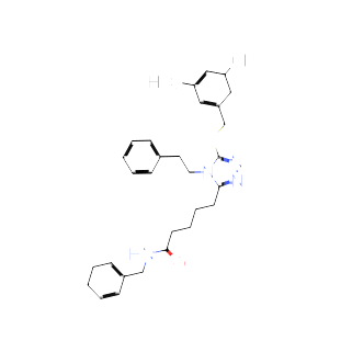 CC1=CC(C)CC(CSc2nnc(CCCCC(=O)NCC3=CCCC=C3)n2CCc2ccccc2)=C1